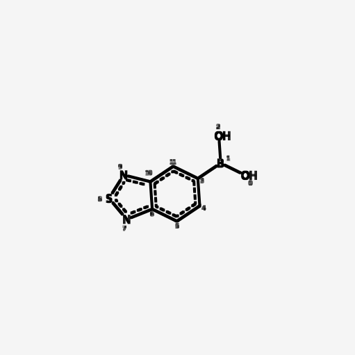 OB(O)c1ccc2nsnc2c1